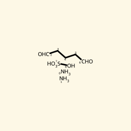 N.N.O=CCCCC=O.O=S(=O)(O)O